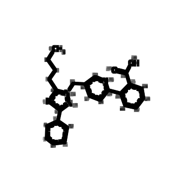 CCCCc1nc(-c2ccccc2)nn1Cc1ccc(-c2ccccc2C(=O)O)nc1